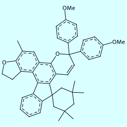 COc1ccc(C2(c3ccc(OC)cc3)C=Cc3c4c(c5c6c(c(C)cc5c3O2)OCC6)-c2ccccc2C42CC(C)(C)CC(C)(C)C2)cc1